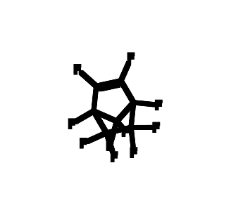 FC1=C(F)C2(F)C(F)(F)C(F)(F)C1(F)C2(F)F